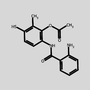 CC(=O)Oc1c(NC(=O)c2ccccc2N)ccc(S)c1C